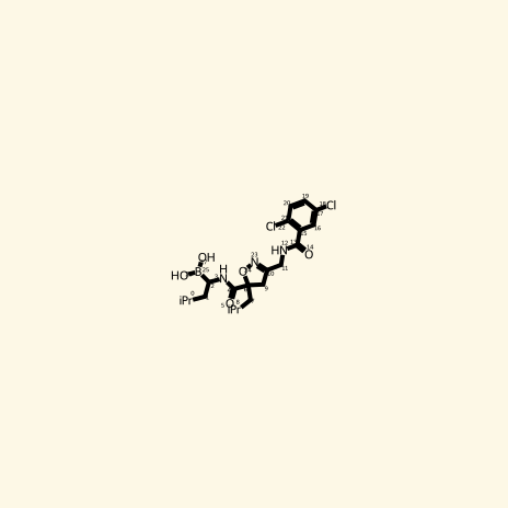 CC(C)CC(NC(=O)C1(CC(C)C)CC(CNC(=O)c2cc(Cl)ccc2Cl)=NO1)B(O)O